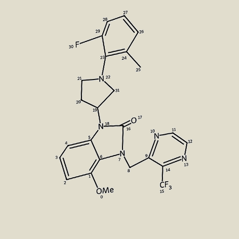 COc1cccc2c1n(Cc1nccnc1C(F)(F)F)c(=O)n2C1CCN(c2c(C)cccc2F)C1